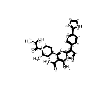 CC(=O)c1c([C@@H]2CCN(C(=O)[C@@H](C)O)[C@@H](C)C2)nc2c(-c3ccc(-c4ncc[nH]4)nc3)cnn2c1N